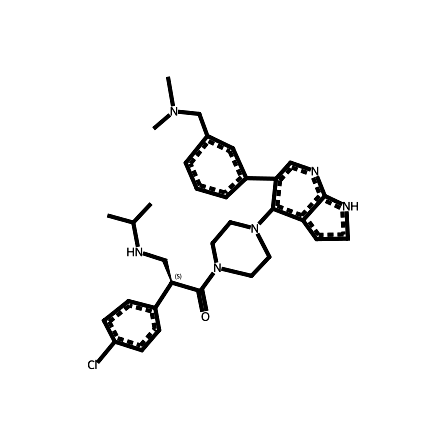 CC(C)NC[C@@H](C(=O)N1CCN(c2c(-c3cccc(CN(C)C)c3)cnc3[nH]ccc23)CC1)c1ccc(Cl)cc1